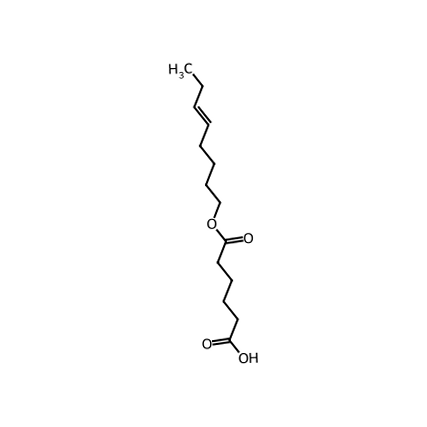 CCC=CCCCCOC(=O)CCCCC(=O)O